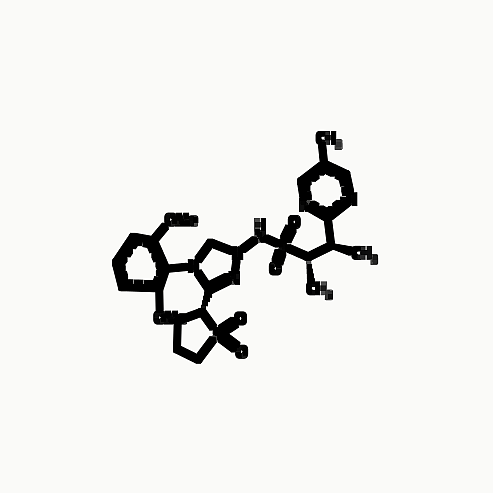 COc1cccc(OC)c1N1CN(NS(=O)(=O)[C@@H](C)[C@H](C)c2ncc(C)cn2)N=C1[C@H]1CCCS1(=O)=O